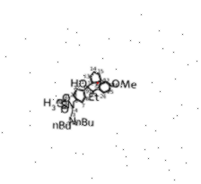 CCCCN(CCCC)CCN(c1ccc(C(O)(c2ccccc2)C(CC)c2ccc(OC)cc2)cc1)S(C)(=O)=O